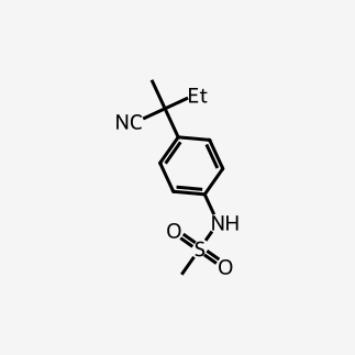 CCC(C)(C#N)c1ccc(NS(C)(=O)=O)cc1